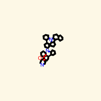 c1ccc(-c2ccccc2N(c2ccc(-c3ccccc3-n3c4ccccc4c4c5ccccc5ccc43)cc2)c2ccc3oc4cnccc4c3c2)cc1